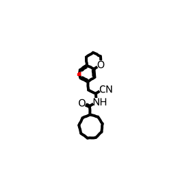 C\C=C(/C=C1/OCCC/C1=C/C)CC(C#N)NC(=O)C1CCCCCCCC1